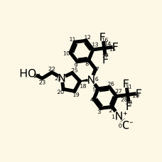 [C-]#[N+]c1ccc(N(Cc2ccccc2C(F)(F)F)[C@H]2CCN(CCO)C2)cc1C(F)(F)F